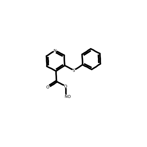 O=NOC(=O)c1ccncc1Sc1ccccc1